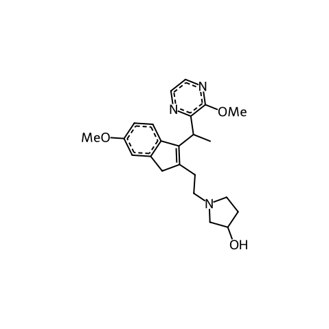 COc1ccc2c(c1)CC(CCN1CCC(O)C1)=C2C(C)c1nccnc1OC